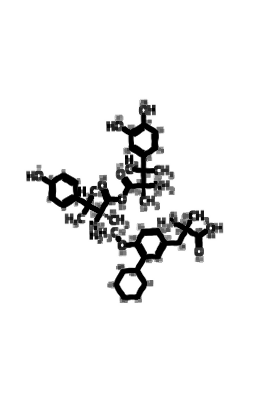 CC(C)(c1ccc(O)cc1)[C@](C)(N)C(=O)OC(=O)[C@@](C)(N)C(C)(C)c1ccc(O)c(O)c1.COc1ccc(C[C@](C)(N)C(=O)O)cc1C1CCCCC1